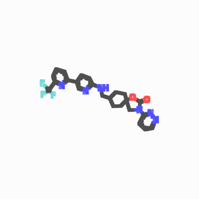 O=C1OC2(CCC(CNc3ccc(-c4cccc(C(F)(F)F)n4)cn3)CC2)CN1c1cccnn1